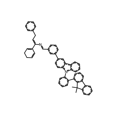 CC1(C)c2ccccc2-c2cccc(-c3ccccc3-n3c4ccccc4c4cc(-c5cccc(/C=N/C(=C\Cc6ccccc6)C6=CCCC=C6)c5)ccc43)c21